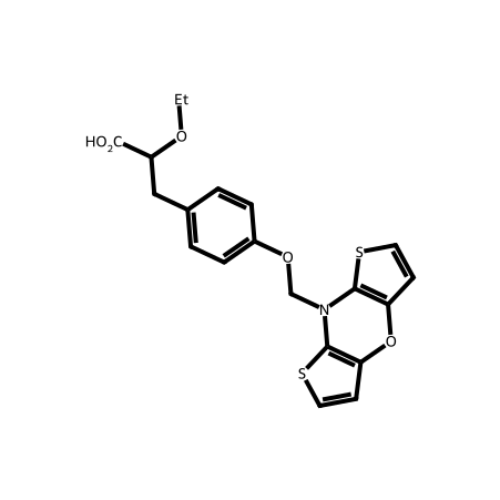 CCOC(Cc1ccc(OCN2c3sccc3Oc3ccsc32)cc1)C(=O)O